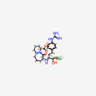 Br.Br.N=C(N)Nc1ccc(CC[C@H](N[C@H]2CCCN3CCC[C@@H](C(=O)O)N3C2=O)C(=O)O)cc1